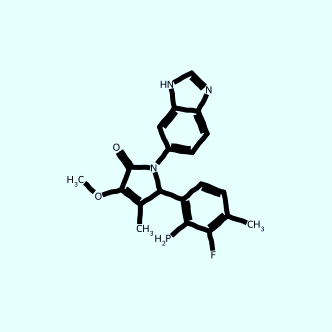 COC1=C(C)C(c2ccc(C)c(F)c2P)N(c2ccc3nc[nH]c3c2)C1=O